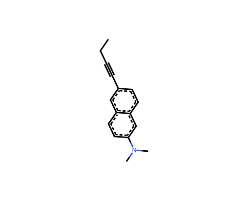 CCC#Cc1ccc2cc(N(C)C)ccc2c1